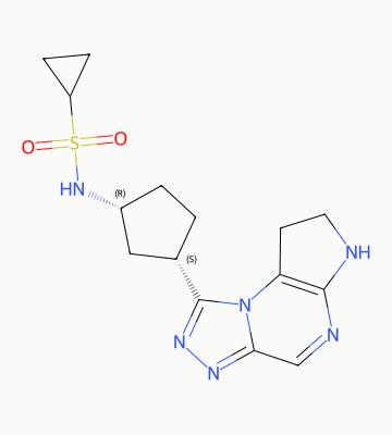 O=S(=O)(N[C@@H]1CC[C@H](c2nnc3cnc4c(n23)CCN4)C1)C1CC1